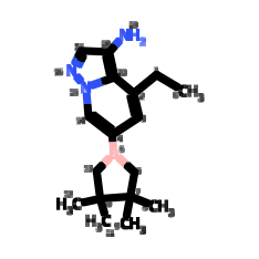 CCc1cc(B2CC(C)(C)C(C)(C)C2)cn2ncc(N)c12